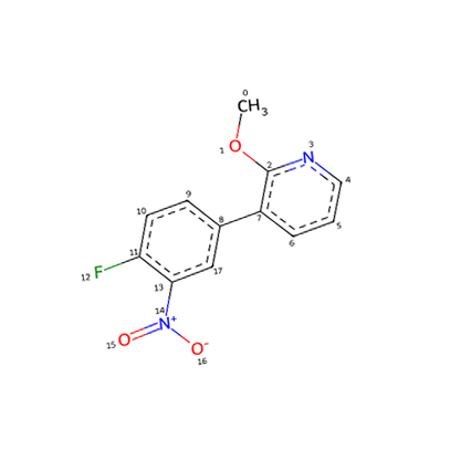 COc1ncccc1-c1ccc(F)c([N+](=O)[O-])c1